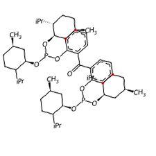 CC(C)C1CC[C@@H](C)C[C@H]1OP(Oc1ccccc1C(=O)c1ccccc1OP(O[C@@H]1C[C@H](C)CCC1C(C)C)O[C@@H]1C[C@H](C)CC[C@H]1C(C)C)O[C@@H]1C[C@H](C)CC[C@H]1C(C)C